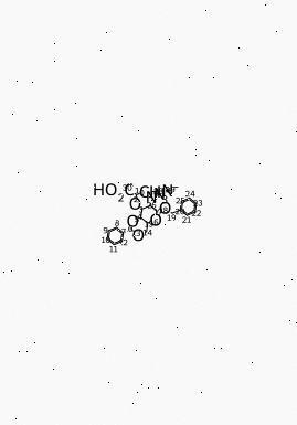 CC(OC1C2O[C@@H](c3ccccc3)OCC2O[C@@H](OCc2ccccc2)C1N=[N+]=[N-])C(=O)O